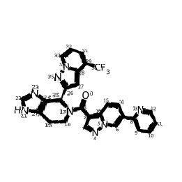 O=C(c1cnn2cc(-c3ccccn3)ccc12)N1CCc2[nH]cnc2[C@H]1c1cc2c(C(F)(F)F)cccn2n1